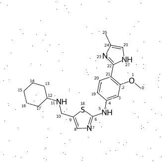 COc1cc(Nc2ncc(CNC3CCCCC3)s2)ccc1-c1nc(C)c[nH]1